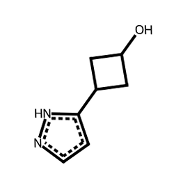 OC1CC(c2ccn[nH]2)C1